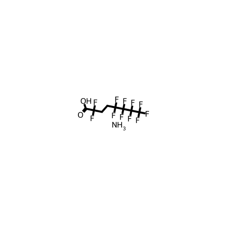 N.O=C(O)C(F)(F)CCC(F)(F)C(F)(F)C(F)(F)C(F)(F)F